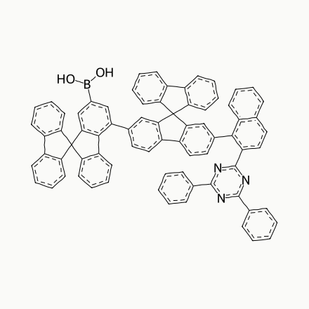 OB(O)c1cc(-c2ccc3c(c2)C2(c4ccccc4-c4ccccc42)c2cc(-c4c(-c5nc(-c6ccccc6)nc(-c6ccccc6)n5)ccc5ccccc45)ccc2-3)c2c(c1)C1(c3ccccc3-c3ccccc31)c1ccccc1-2